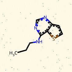 CCCNc1ncnc2ccsc12